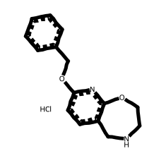 Cl.c1ccc(COc2ccc3c(n2)OCCNC3)cc1